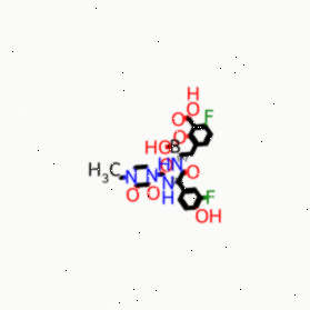 CCN1CCN(C(=O)N[C@H](C(=O)N[C@H]2Cc3ccc(F)c(C(=O)O)c3OB2O)c2ccc(O)c(F)c2)C(=O)C1=O